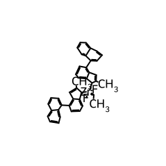 C[CH]=[Zr]([F])([F])([CH]1C(C)=Cc2c(-c3cccc4ccccc34)cccc21)[CH]1C(C)=Cc2c(-c3cccc4ccccc34)cccc21